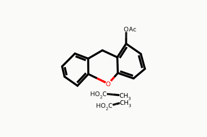 CC(=O)O.CC(=O)O.CC(=O)Oc1cccc2c1Cc1ccccc1O2